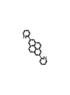 c1ccc(-c2cc3ccc4cc(-c5ccccn5)cc5ccc(c2)c3c45)nc1